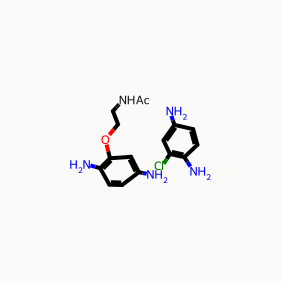 CC(=O)NCCOc1cc(N)ccc1N.Nc1ccc(N)c(Cl)c1